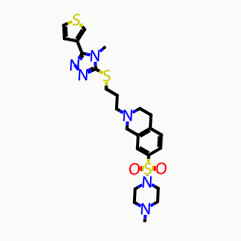 CN1CCN(S(=O)(=O)c2ccc3c(c2)CN(CCCSc2nnc(-c4ccsc4)n2C)CC3)CC1